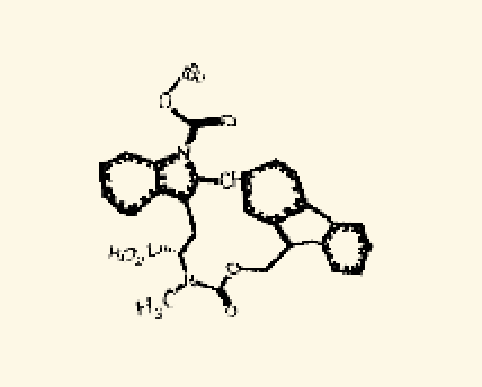 Cc1c(C[C@@H](C(=O)O)N(C)C(=O)OCC2c3ccccc3-c3ccccc32)c2ccccc2n1C(=O)OC(C)(C)C